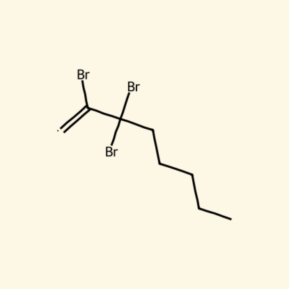 [CH]=C(Br)C(Br)(Br)CCCCC